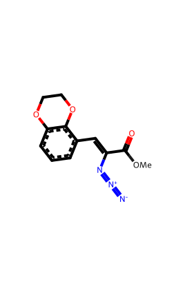 COC(=O)/C(=C/c1cccc2c1OCCO2)N=[N+]=[N-]